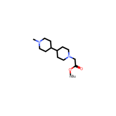 CCCCOC(=O)CN1CCC(C2CCN(C)CC2)CC1